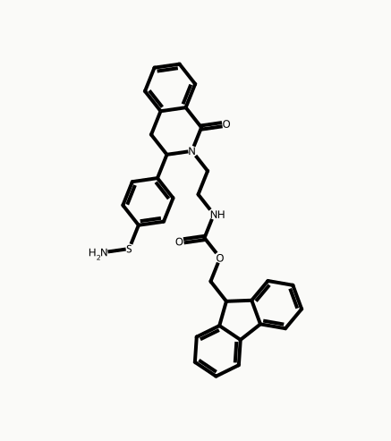 NSc1ccc(C2Cc3ccccc3C(=O)N2CCNC(=O)OCC2c3ccccc3-c3ccccc32)cc1